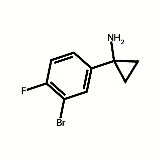 NC1(c2ccc(F)c(Br)c2)CC1